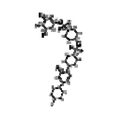 CC1CCC(c2ccc(C3CCC(C(F)(F)OC4CCC(C(F)(F)Oc5cc(F)c(F)c(F)c5)CC4)CC3)c(F)c2)CC1